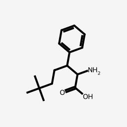 CC(C)(C)CCC(c1ccccc1)C(N)C(=O)O